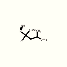 CCC(CC(C)OC)(N=N)OC